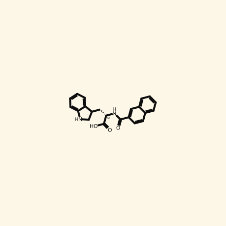 O=C(N[C@@H](CC1CNc2ccccc21)C(=O)O)c1ccc2ccccc2c1